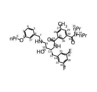 CCCOc1cccc(CNC[C@@H](O)[C@H](Cc2cc(F)cc(F)c2)NC(=O)c2cc(C)cc(C(=O)N(CCC)CCC)c2)c1